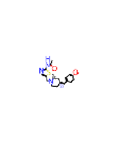 COc1ccc(/C=C2/CCN(Cc3cnc(NC(C)=O)s3)[C@H](C)C2)cc1